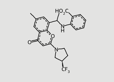 Cc1cc(C(C)Nc2ccccc2C(=O)O)c2oc(N3CC[C@@H](C(F)(F)F)C3)cc(=O)c2c1